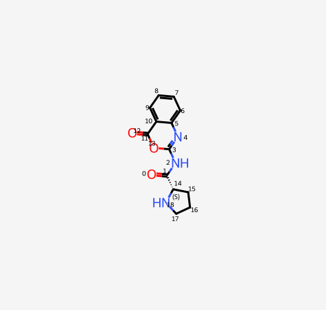 O=C(Nc1nc2ccccc2c(=O)o1)[C@@H]1CCCN1